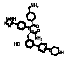 Cl.NC[C@H]1CC[C@H](C(=O)N(c2ccc(-c3nnn[nH]3)cc2)[C@@H](Cc2cccc(-c3cnc(N4CCNCC4)nc3)c2)C(N)=O)CC1